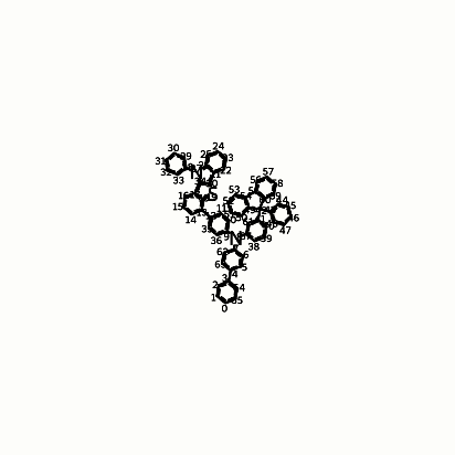 c1ccc(-c2ccc(N(c3ccc(-c4cccc5c4sc4c6ccccc6n(-c6ccccc6)c54)cc3)c3cccc(C4(c5ccccc5)c5ccccc5-c5ccccc54)c3)cc2)cc1